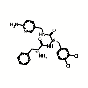 Nc1ccc(CNC(=O)[C@H](Cc2ccc(Cl)c(Cl)c2)NC(=O)[C@H](N)Cc2ccccc2)cn1